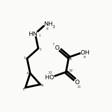 NNCCC1CC1.O=C(O)C(=O)O